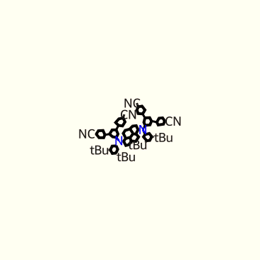 CC(C)(C)c1cc(N(c2cc(-c3ccc(C#N)cc3)cc(-c3ccc(C#N)cc3)c2)c2ccc3ccc4c(N(c5cc(-c6ccc(C#N)cc6)cc(-c6ccc(C#N)cc6)c5)c5cc(C(C)(C)C)cc(C(C)(C)C)c5)ccc5ccc2c3c54)cc(C(C)(C)C)c1